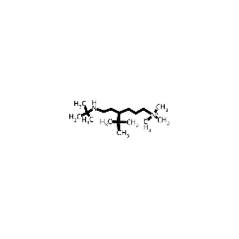 CC(C)(C)NCCC(CCC[N+](C)(C)C)C(C)(C)C